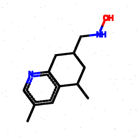 Cc1cnc2c(c1)C(C)CC(CNO)C2